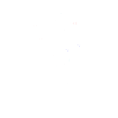 O=C(N=CC(CN1CCCC1)[C@@H](O)c1cc2c(cc1F)OCCO2)C(F)(F)c1cc2cc(Cl)ccc2o1